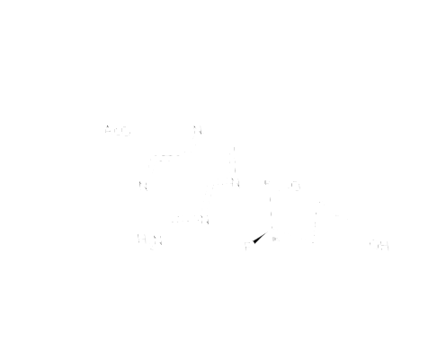 CC(=O)Oc1nc(N)nc2c1ncn2[C@@H]1O[C@H](CO)C[C@H]1F